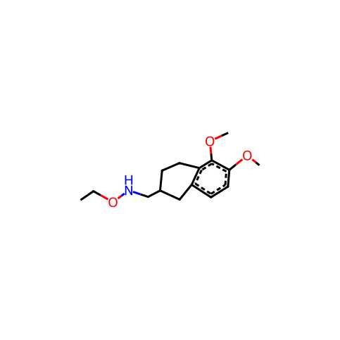 CCONCC1CCc2c(ccc(OC)c2OC)C1